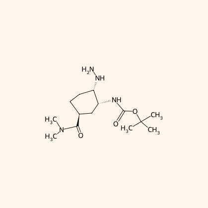 CN(C)C(=O)[C@H]1CC[C@H](NN)[C@H](NC(=O)OC(C)(C)C)C1